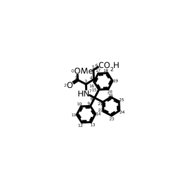 COC(=O)C(CCC(=O)O)NC(c1ccccc1)(c1ccccc1)c1ccccc1